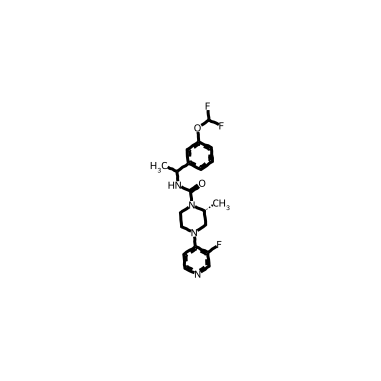 CC(NC(=O)N1CCN(c2ccncc2F)C[C@H]1C)c1cccc(OC(F)F)c1